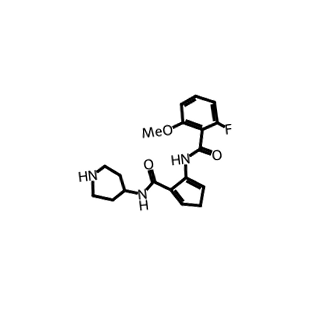 COc1cccc(F)c1C(=O)NC1=CCC=C1C(=O)NC1CCNCC1